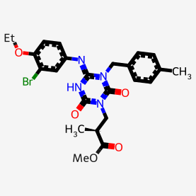 CCOc1ccc(/N=c2\[nH]c(=O)n(C[C@H](C)C(=O)OC)c(=O)n2Cc2ccc(C)cc2)cc1Br